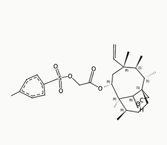 C=C[C@@]1(C)C[C@@H](OC(=O)COS(=O)(=O)c2ccc(C)cc2)[C@]2(C)[C@H](C)CC[C@]3(CCCOC[C@H]32)[C@@H](C)[C@@H]1C